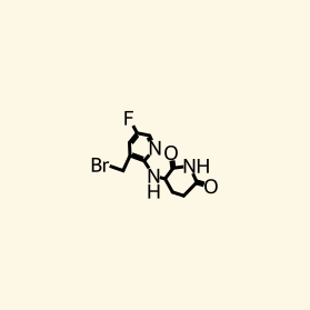 O=C1CCC(Nc2ncc(F)cc2CBr)C(=O)N1